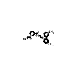 Cc1ccc2c(c1)c1c(n2CCNC(=O)C2CCCN(C(=O)CC(C)(C)C)C2)CCN(C)C1